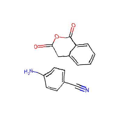 N#Cc1ccc(N)cc1.O=C1Cc2ccccc2C(=O)O1